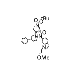 COCCCn1ccc2ccc(NC(=O)[C@H]3CN(C(=O)OC(C)(C)C)CC[C@@H]3c3cccc(-c4ccccc4)c3)cc21